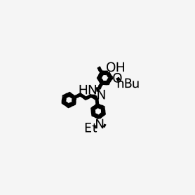 CCCCOc1cc(-c2nc(-c3ccc(N(C)CC)cc3)c(CCc3ccccc3)[nH]2)cc(C)c1O